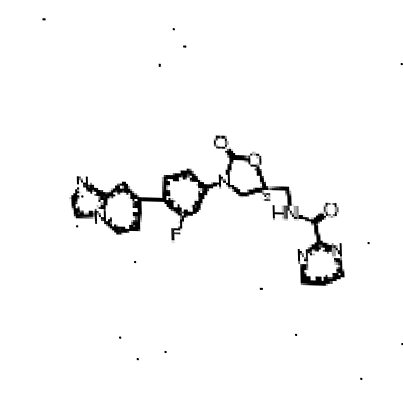 O=C(NC[C@H]1CN(c2ccc(-c3ccn4ccnc4c3)c(F)c2)C(=O)O1)c1ncccn1